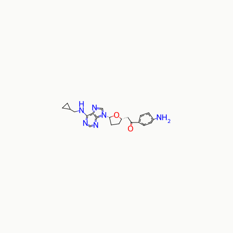 Nc1ccc(C(=O)C[C@@H]2CC[C@H](n3cnc4c(NCC5CC5)ncnc43)O2)cc1